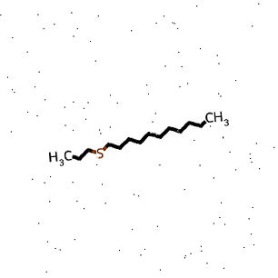 CCCCCCCCCCCSCCC